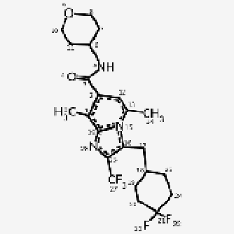 Cc1c(C(=O)NC2CCOCC2)cc(C)n2c(CC3CCC(F)(F)CC3)c(C(F)(F)F)nc12